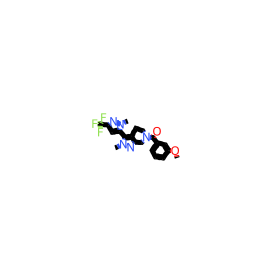 COc1cccc(C(=O)N2CCc3c(nn(C)c3-c3cc(C(F)(F)F)nn3C)C2)c1